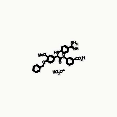 CC(=O)O.COc1cc(C(Nc2ccc(C(=N)N)cc2)C(=O)Nc2cccc(C(=O)O)c2)ccc1OCc1ccccc1